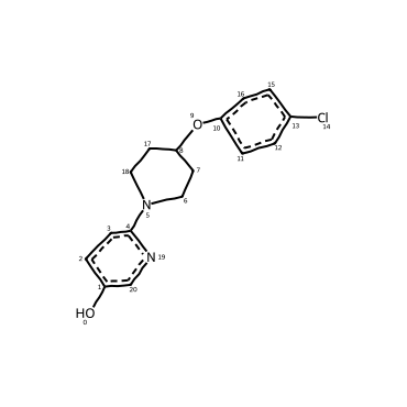 Oc1ccc(N2CCC(Oc3ccc(Cl)cc3)CC2)nc1